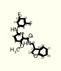 COc1ccc(Nc2cc(F)cc(F)c2)nc1C(=O)NCC1COc2ccccc21